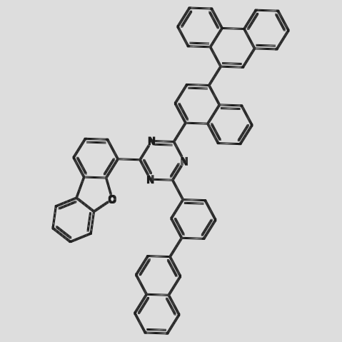 c1cc(-c2ccc3ccccc3c2)cc(-c2nc(-c3ccc(-c4cc5ccccc5c5ccccc45)c4ccccc34)nc(-c3cccc4c3oc3ccccc34)n2)c1